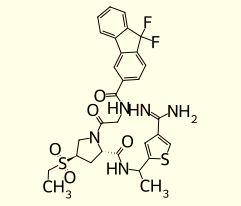 CCS(=O)(=O)[C@@H]1C[C@@H](C(=O)NC(C)c2cc(C(=N)N)cs2)N(C(=O)CNC(=O)c2ccc3c(c2)-c2ccccc2C3(F)F)C1